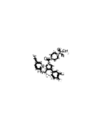 C[C@H](Nc1ccc(C#N)cn1)C1CN(C(=O)N2CCN(S(C)(=O)=O)CC2)CC1c1ccc(Cl)c(Cl)c1